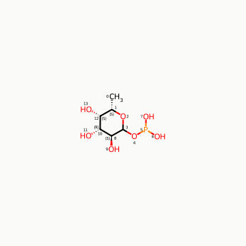 C[C@@H]1OC(OP(O)O)[C@@H](O)[C@H](O)[C@@H]1O